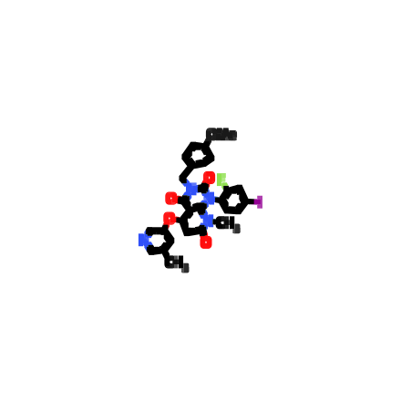 COc1ccc(Cn2c(=O)c3c(Oc4cncc(C)c4)cc(=O)n(C)c3n(-c3ccc(I)cc3F)c2=O)cc1